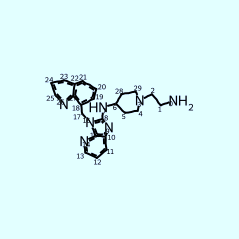 NCCN1CCC(Nc2nc3cccnc3n2Cc2cccc3cccnc23)CC1